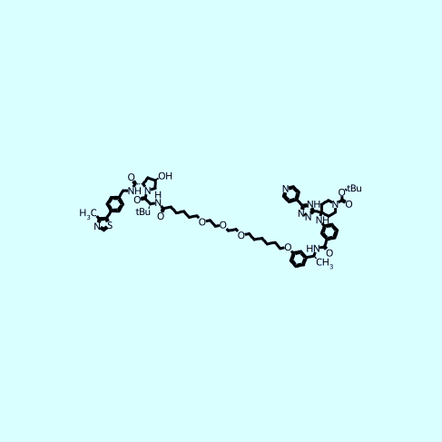 Cc1ncsc1-c1ccc(CNC(=O)[C@@H]2C[C@@H](O)CN2C(=O)[C@H](NC(=O)CCCCCOCCOCCOCCCCCCOc2cccc([C@@H](C)NC(=O)c3cccc(NC4(c5nnc(-c6ccncc6)[nH]5)CCN(C(=O)OC(C)(C)C)CC4)c3)c2)C(C)(C)C)cc1